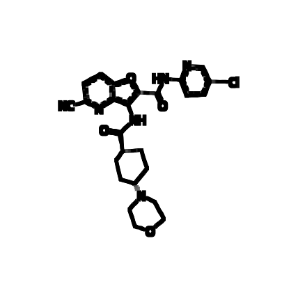 N#Cc1ccc2oc(C(=O)Nc3ccc(Cl)cn3)c(NC(=O)[C@H]3CC[C@H](N4CCOCC4)CC3)c2n1